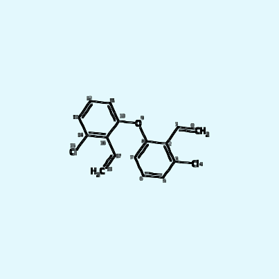 C=Cc1c(Cl)cccc1Oc1cccc(Cl)c1C=C